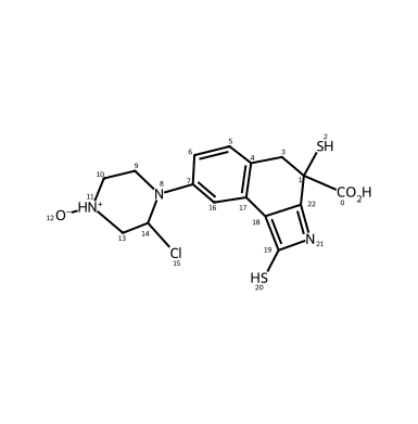 O=C(O)C1(S)Cc2ccc(N3CC[NH+]([O-])CC3Cl)cc2C2=C(S)N=C21